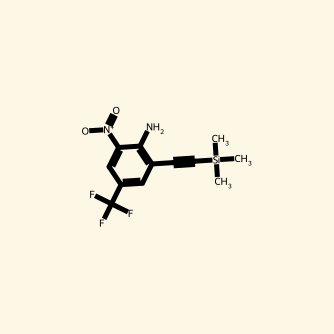 C[Si](C)(C)C#Cc1cc(C(F)(F)F)cc([N+](=O)[O-])c1N